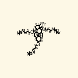 CC(C)C1CC[C@H]2C3[C@H](OCCCN=[N+]=[N-])CC4C[C@H](OCCCN=[N+]=[N-])CCC4(C)[C@H]3C[C@H](OCCCN=[N+]=[N-])C12C